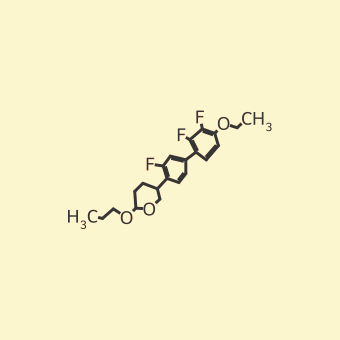 CCCOC1CCC(c2ccc(-c3ccc(OCC)c(F)c3F)cc2F)CO1